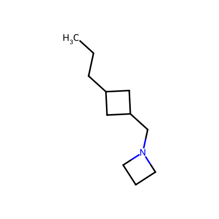 CCCC1CC(CN2CCC2)C1